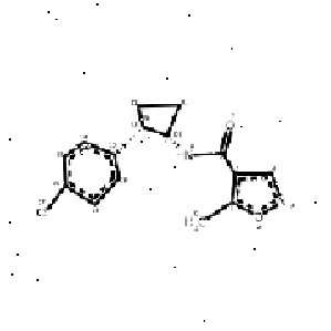 Cc1oncc1C(=O)N[C@H]1CC[C@H]1c1ccc(Cl)cc1